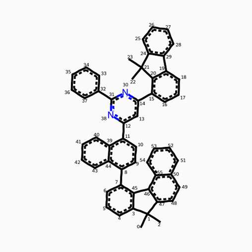 CC1(C)c2cccc(-c3ccc(-c4cc(-c5cccc6c5C(C)(C)c5ccccc5-6)nc(-c5ccccc5)n4)c4ccccc34)c2-c2c1ccc1ccccc21